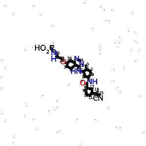 Cc1ccc(NC(=O)c2cccc(C(C)(C)C#N)c2)cc1Nc1ncnc2cc(OCCCNC(=O)O)ccc12